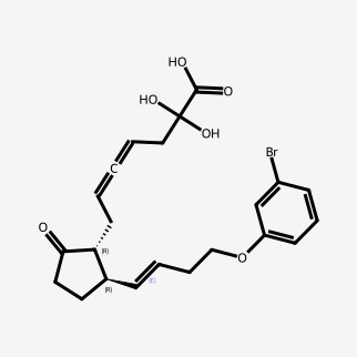 O=C1CC[C@H](/C=C/CCOc2cccc(Br)c2)[C@H]1CC=C=CCC(O)(O)C(=O)O